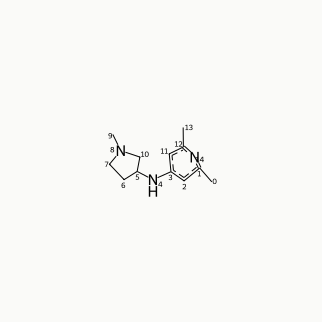 Cc1cc(NC2CCN(C)C2)cc(C)n1